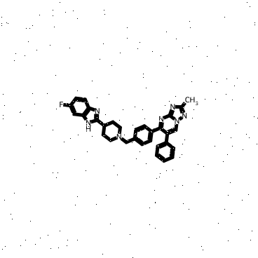 Cc1nc2nc(-c3ccc(CN4CCC(c5nc6ccc(F)cc6[nH]5)CC4)cc3)c(-c3ccccc3)cn2n1